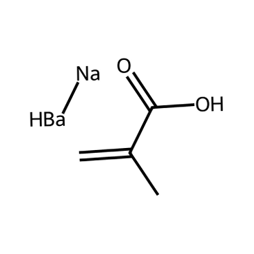 C=C(C)C(=O)O.[Na][BaH]